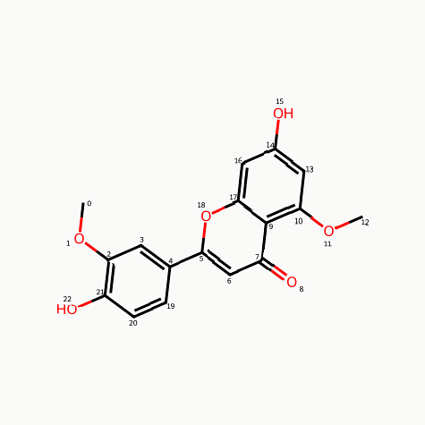 COc1cc(-c2cc(=O)c3c(OC)cc(O)cc3o2)ccc1O